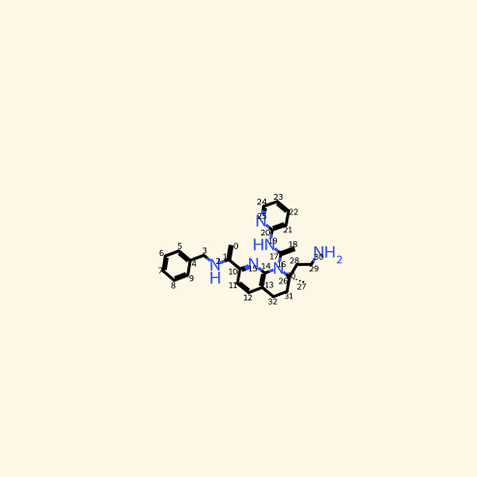 C=C(NCc1ccccc1)c1ccc2c(n1)N(C(=C)Nc1ccccn1)[C@@](C)(CCN)CC2